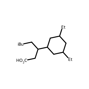 CCC(C)CC(CC(=O)O)C1CC(CC)CC(CC)C1